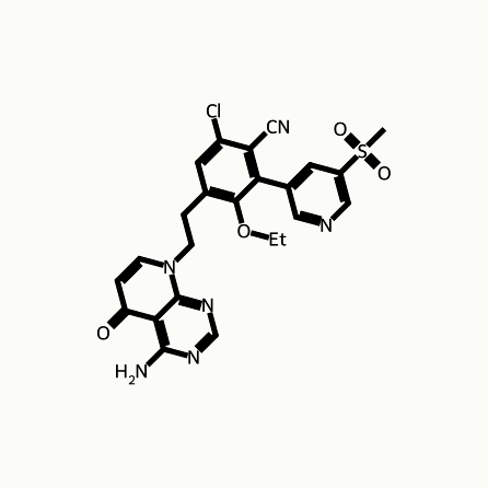 CCOc1c(CCn2ccc(=O)c3c(N)ncnc32)cc(Cl)c(C#N)c1-c1cncc(S(C)(=O)=O)c1